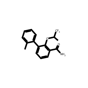 Cc1ccccc1-c1cccc(C(N)=O)c1OC(C)C(F)(F)F